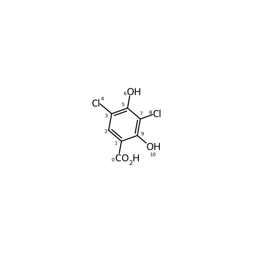 O=C(O)c1cc(Cl)c(O)c(Cl)c1O